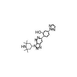 CC1(C)CC(n2nnc3cc(-c4ccc(-n5nccn5)cc4O)nnc32)CC(C)(C)N1